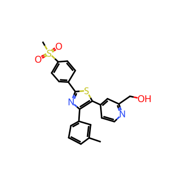 Cc1cccc(-c2nc(-c3ccc(S(C)(=O)=O)cc3)sc2-c2ccnc(CO)c2)c1